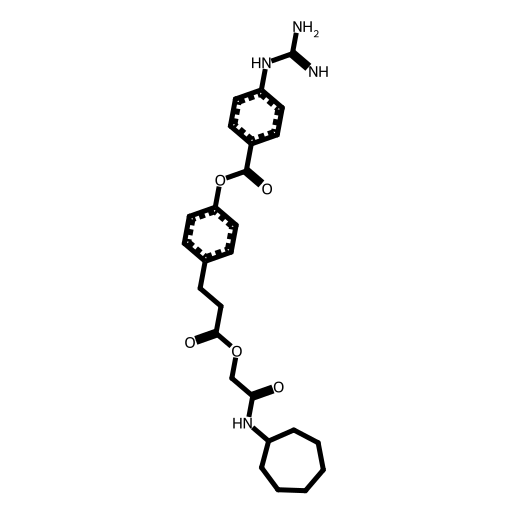 N=C(N)Nc1ccc(C(=O)Oc2ccc(CCC(=O)OCC(=O)NC3CCCCCC3)cc2)cc1